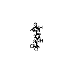 O=C1NN=C(c2ccc(NC(=O)C3CC3(Cl)Cl)cc2)C2CC12